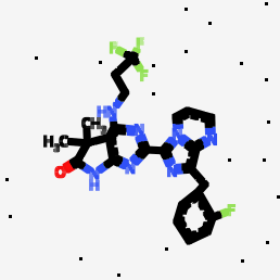 CC1(C)C(=O)Nc2nc(-c3nc(Cc4ccccc4F)c4ncccn34)nc(NCCC(F)(F)F)c21